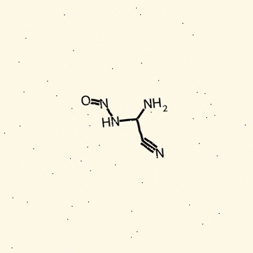 N#CC(N)NN=O